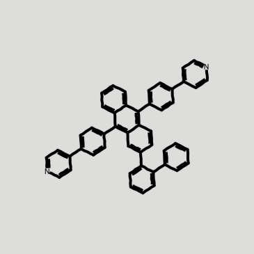 c1ccc(-c2ccccc2-c2ccc3c(-c4ccc(-c5ccncc5)cc4)c4ccccc4c(-c4ccc(-c5ccncc5)cc4)c3c2)cc1